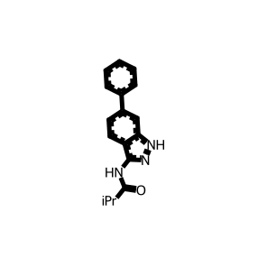 CC(C)C(=O)Nc1n[nH]c2cc(-c3ccccc3)ccc12